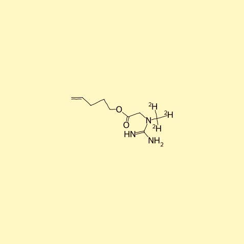 [2H]C([2H])([2H])N(CC(=O)OCCCC=C)C(=N)N